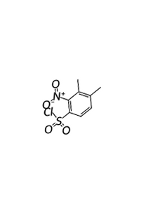 Cc1ccc(S(=O)(=O)Cl)c([N+](=O)[O-])c1C